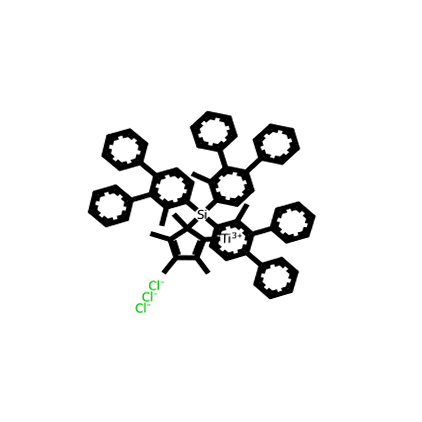 CC1=C(C)C(C)([Si](c2ccc(-c3ccccc3)c(-c3ccccc3)c2C)(c2ccc(-c3ccccc3)c(-c3ccccc3)c2C)c2ccc(-c3ccccc3)c(-c3ccccc3)c2C)[C]([Ti+3])=C1C.[Cl-].[Cl-].[Cl-]